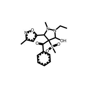 CCN1C(O)C(C(=O)c2ccccc2)(S(C)(=O)=O)C(c2cc(C)no2)N1C